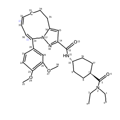 CCN(CC)C(=O)[C@H]1CC[C@H](NC(=O)c2cc3n(n2)/C(c2ccc(OC)c(OC)c2)=C\C=C/CCC3)CC1